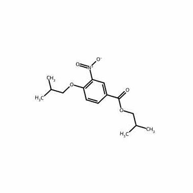 CC(C)COC(=O)c1ccc(OCC(C)C)c([N+](=O)[O-])c1